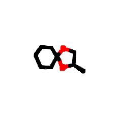 C[C@@H]1COC2(CCCCC2)O1